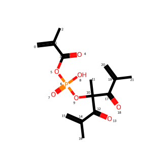 C=C(C)C(=O)OP(=O)(O)OC(C)(C(=O)C(=C)C)C(=O)C(=C)C